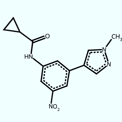 Cn1cc(-c2cc(NC(=O)C3CC3)cc([N+](=O)[O-])c2)cn1